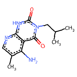 Cc1cnc2[nH]c(=O)n(CC(C)C)c(=O)c2c1N